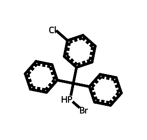 Clc1cccc(C(PBr)(c2ccccc2)c2ccccc2)c1